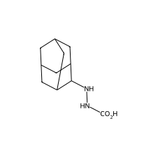 O=C(O)NNC1C2CC3CC(C2)CC1C3